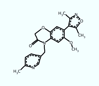 COc1cc2c(cc1-c1c(C)noc1C)OCC(=O)N2Cc1ccc(C)nc1